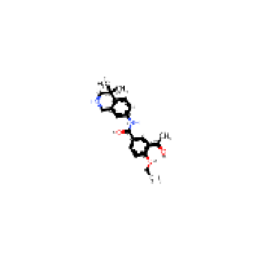 CCOc1ccc(C(=O)Nc2ccc3c(c2)CNCC3(C)C)cc1C(C)=O